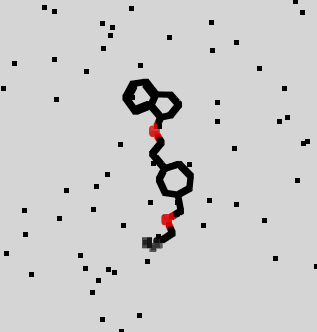 CCOCC1CCCC(CCOC2CCCc3ccccc32)CC1